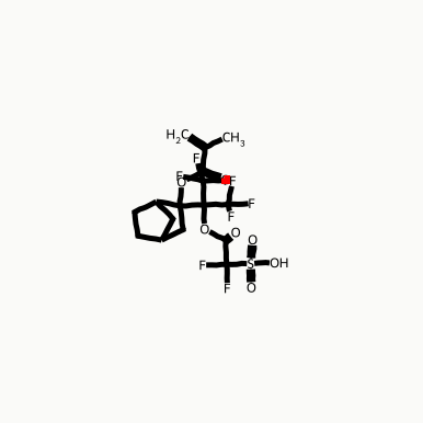 C=C(C)C(=O)OC1(C(OC(=O)C(F)(F)S(=O)(=O)O)(C(F)(F)F)C(F)(F)F)CC2CCC1C2